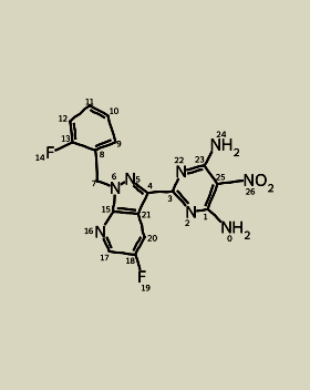 Nc1nc(-c2nn(Cc3ccccc3F)c3ncc(F)cc23)nc(N)c1[N+](=O)[O-]